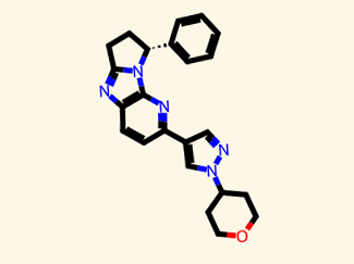 c1ccc([C@H]2CCc3nc4ccc(-c5cnn(C6CCOCC6)c5)nc4n32)cc1